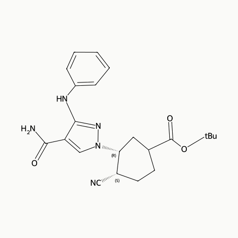 CC(C)(C)OC(=O)C1CC[C@H](C#N)[C@H](n2cc(C(N)=O)c(Nc3ccccc3)n2)C1